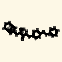 O=C(NCc1ccc(OCc2ccccc2)cc1)C(O)CC12CC3CCCC(C3)(C1)C2